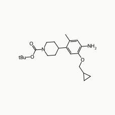 Cc1cc(N)c(OCC2CC2)cc1C1CCN(C(=O)OC(C)(C)C)CC1